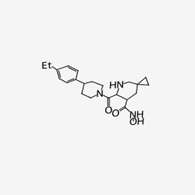 CCc1ccc(C2CCN(C(=O)C3NCC4(CC4)CC3C(=O)NO)CC2)cc1